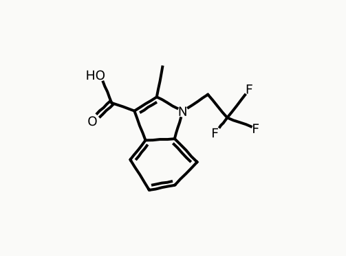 Cc1c(C(=O)O)c2ccccc2n1CC(F)(F)F